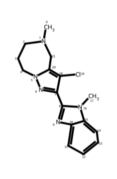 CN1CCCn2nc(-c3nc4ccccc4n3C)c(Cl)c2C1